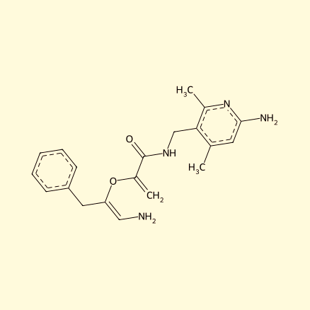 C=C(O/C(=C\N)Cc1ccccc1)C(=O)NCc1c(C)cc(N)nc1C